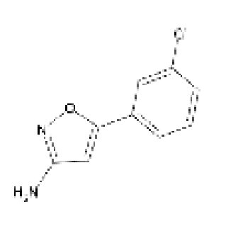 Nc1cc(-c2cccc(Cl)c2)on1